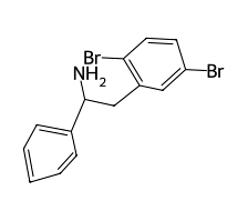 NC(Cc1cc(Br)ccc1Br)c1ccccc1